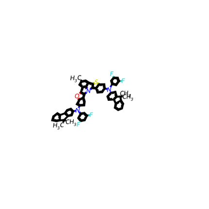 Cc1cc2c3oc4cc(N(c5cc(F)cc(F)c5)c5ccc6c(c5)C(C)(C)c5ccccc5-6)ccc4c3n3c2c(c1)c1sc2cc(N(c4cc(F)cc(F)c4)c4ccc5c(c4)C(C)(C)c4ccccc4-5)ccc2c13